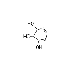 O[C]1C=CC=C(O)C1O